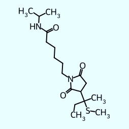 CCC(C)(SC)C1CC(=O)N(CCCCCC(=O)NC(C)C)C1=O